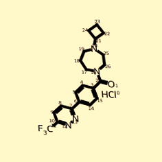 Cl.O=C(c1ccc(-c2ccc(C(F)(F)F)nn2)cc1)N1CCCN(C2CCC2)CC1